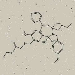 CCCCC1(CC)CN(c2ccccc2)c2cc(OC)c(CSCC(=O)OCC)cc2S(O)(O)N1Cc1ccc(OC)cc1